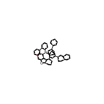 c1ccc(-c2ccc(-c3cccc4oc5cccc(N(c6ccc(-c7ccc8ccccc8c7)cc6)c6ccccc6-c6ccccc6)c5c34)cc2)cc1